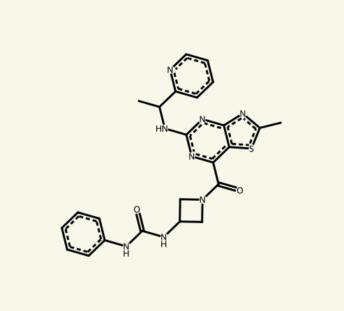 Cc1nc2nc(NC(C)c3ccccn3)nc(C(=O)N3CC(NC(=O)Nc4ccccc4)C3)c2s1